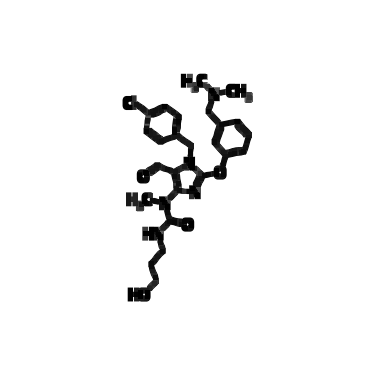 CN(C)Cc1cccc(Oc2nc(N(C)C(=O)NCCCO)c(C=O)n2Cc2ccc(Cl)cc2)c1